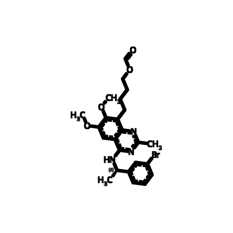 COc1cc2c(N[C@H](C)c3cccc(Br)c3)nc(C)nc2c(CCCCOC=O)c1OC